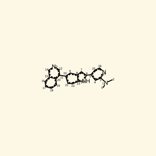 CN(C)c1cc(-c2cc3cc(-c4cncc5ccccc45)ccc3[nH]2)ccn1